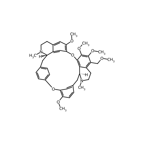 COCc1c2c3c(c(OC)c1OC)Oc1cc4c(cc1OC)CCN(C)[C@H]4Cc1ccc(cc1)Oc1cc(ccc1OC)C[C@@H]3N(C)CC2